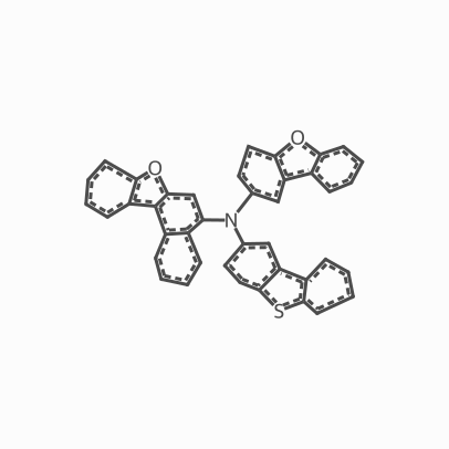 c1ccc2c(c1)oc1ccc(N(c3ccc4sc5ccccc5c4c3)c3cc4oc5ccccc5c4c4ccccc34)cc12